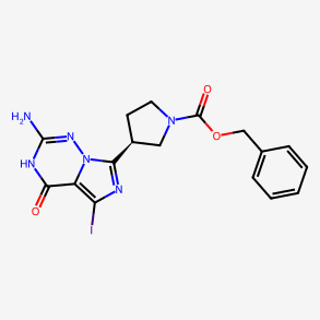 Nc1nn2c([C@H]3CCN(C(=O)OCc4ccccc4)C3)nc(I)c2c(=O)[nH]1